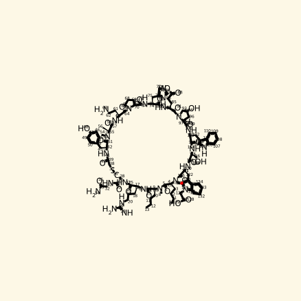 CCCC[C@H]1C(=O)N(C)[C@@H](CCCC)C(=O)N[C@@H](CCCNC(=N)N)C(=O)N[C@H](C(=O)NCC(N)=O)CSCC(=O)N[C@@H](Cc2ccc(O)cc2)C(=O)N(C)[C@@H](C)C(=O)N[C@@H](CCN)C(=O)N2CCC[C@H]2C(=O)N[C@@H](Cc2cnc[nH]2)C(=O)N[C@@H](CCC(=O)O)C(=O)N2C[C@H](O)C[C@H]2C(=O)N[C@@H](Cc2c[nH]c3ccccc23)C(=O)N[C@@H](CO)C(=O)N[C@@H](Cc2cn(CC(=O)O)c3ccccc23)C(=O)N1C